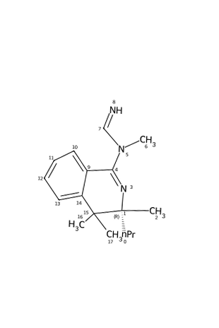 CCC[C@@]1(C)N=C(N(C)C=N)c2ccccc2C1(C)C